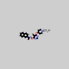 CC(=NOc1ncnc(OC2CCN(C(=O)O)CC2)c1C)c1ccc2ccccc2c1